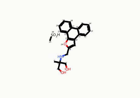 CC(CO)(CO)NCc1cc2c3ccccc3c3ccccc3c2o1.CS(=O)(=O)O